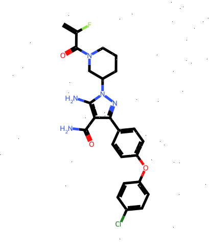 C=C(F)C(=O)N1CCCC(n2nc(-c3ccc(Oc4ccc(Cl)cc4)cc3)c(C(N)=O)c2N)C1